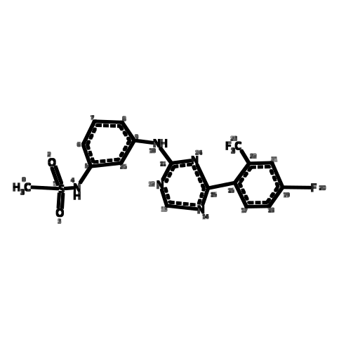 CS(=O)(=O)Nc1cccc(Nc2ncnc(-c3ccc(F)cc3C(F)(F)F)n2)c1